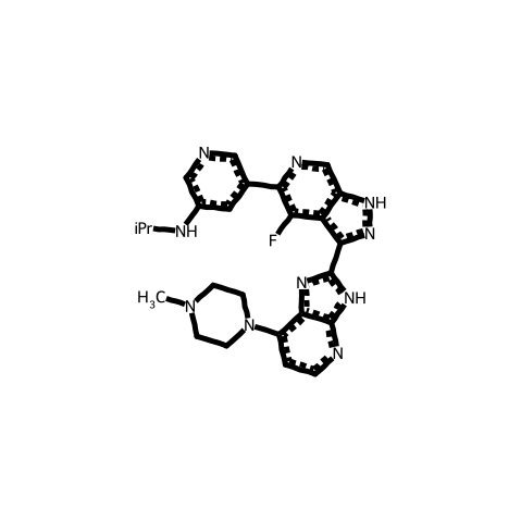 CC(C)Nc1cncc(-c2ncc3[nH]nc(-c4nc5c(N6CCN(C)CC6)ccnc5[nH]4)c3c2F)c1